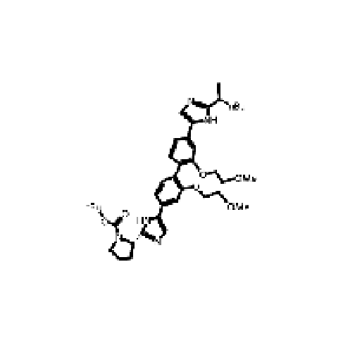 CCCC[C@H](C)c1ncc(-c2ccc(-c3ccc(-c4cnc([C@@H]5CCCN5C(=O)OC(C)(C)C)[nH]4)cc3OCCOC)c(OCCOC)c2)[nH]1